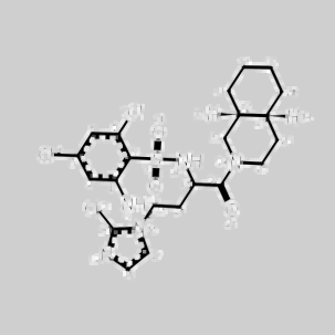 Nc1cc(Cl)cc(Cl)c1S(=O)(=O)NC(CCn1ccnc1Cl)C(=O)N1CC[C@H]2CCCC[C@H]2C1